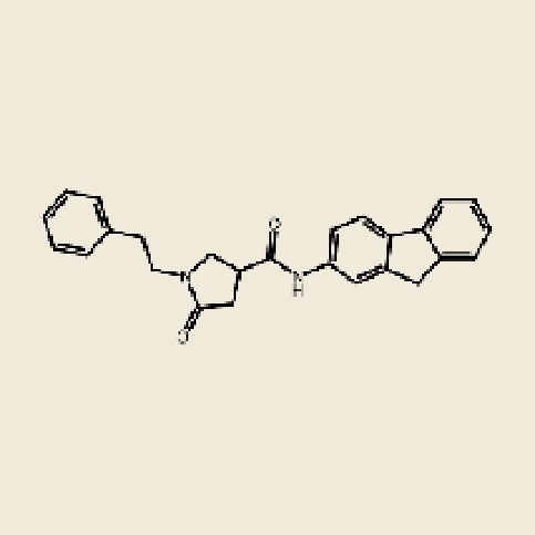 O=C(Nc1ccc2c(c1)Cc1ccccc1-2)C1CC(=O)N(CCc2ccccc2)C1